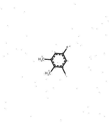 Cc1cc(F)cc(I)c1C